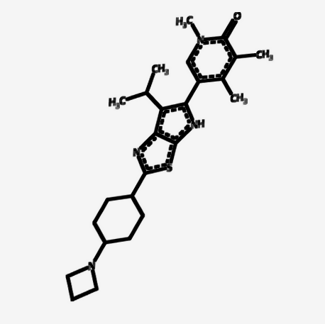 Cc1c(-c2[nH]c3sc(C4CCC(N5CCC5)CC4)nc3c2C(C)C)cn(C)c(=O)c1C